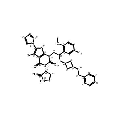 COc1ccc(F)cc1[C@H](Cn1c(=O)n([C@@H]2CCNC2=O)c(=O)c2c(C)c(-n3cccn3)sc21)OC1CC(OCc2ccccc2)C1